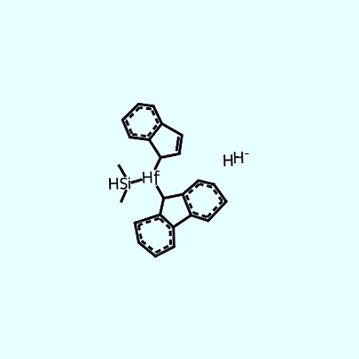 C[SiH](C)[Hf]([CH]1C=Cc2ccccc21)[CH]1c2ccccc2-c2ccccc21.[H-].[H-]